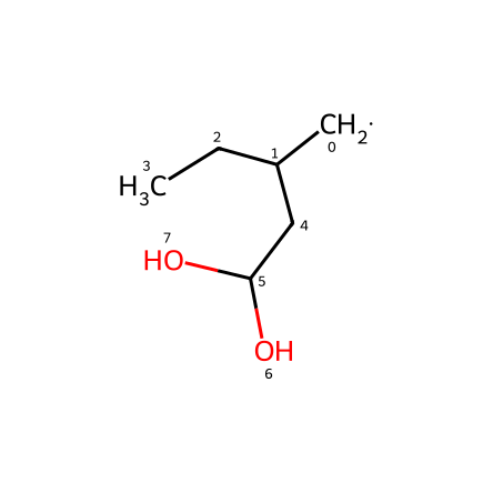 [CH2]C(CC)CC(O)O